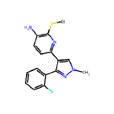 CCSc1nc(-c2cn(C)nc2-c2ccccc2F)ccc1N